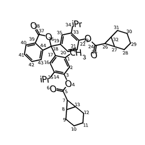 Cc1cc(OC(=O)C2C3CCCCC32)c(C(C)C)cc1C1(c2ccc(OC(=O)C3C4CCCCC43)c(C(C)C)c2)OC(=O)c2ccccc21